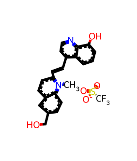 C[n+]1c(C=Cc2ccnc3c(O)cccc23)ccc2cc(CO)ccc21.O=S(=O)([O-])C(F)(F)F